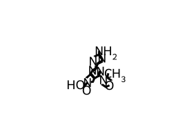 CC1COCCN1c1nc(-c2cnc(N)cn2)nc2c1CN(C(=O)O)C2